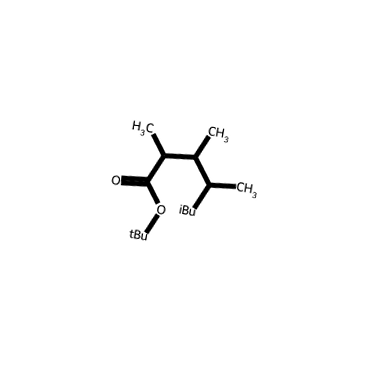 CCC(C)C(C)C(C)C(C)C(=O)OC(C)(C)C